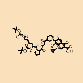 COc1c(N2CCC/C(=C(\F)CNC(=O)C3CCCN3C(=O)[C@H](CCCCNC(=O)OC(C)(C)C)NC(=O)OC(C)(C)C)C2)c(F)cc2c(=O)c(C(=O)O)cn(C3CC3)c12